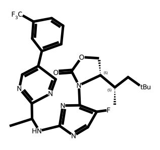 CC(Nc1ncc(F)c(N2C(=O)OC[C@@H]2[C@@H](C)CC(C)(C)C)n1)c1ncc(-c2cccc(C(F)(F)F)c2)cn1